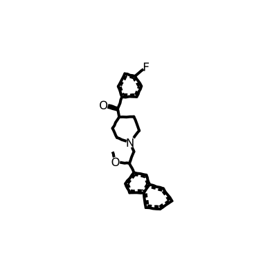 COC(CN1CCC(C(=O)c2ccc(F)cc2)CC1)c1ccc2ccccc2c1